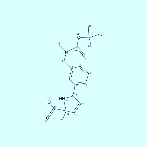 CN(Cc1cccc(N2C=CC(C)(C(=O)O)N2)c1)C(=O)OC(C)(C)C